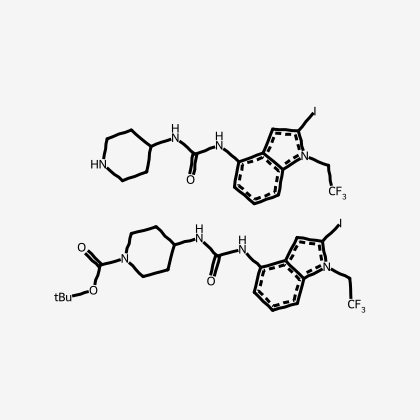 CC(C)(C)OC(=O)N1CCC(NC(=O)Nc2cccc3c2cc(I)n3CC(F)(F)F)CC1.O=C(Nc1cccc2c1cc(I)n2CC(F)(F)F)NC1CCNCC1